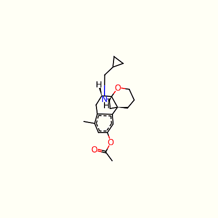 CC(=O)Oc1cc(C)c2c(c1)[C@@]13CCCO[C@H]1[C@@H](C2)N(CC1CC1)CC3